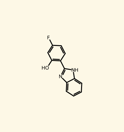 Oc1cc(F)ccc1-c1nc2ccccc2[nH]1